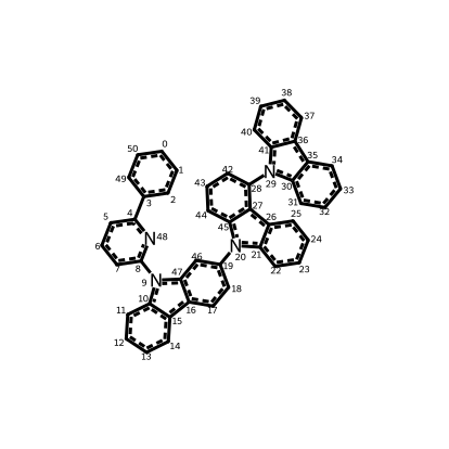 c1ccc(-c2cccc(-n3c4ccccc4c4ccc(-n5c6ccccc6c6c(-n7c8ccccc8c8ccccc87)cccc65)cc43)n2)cc1